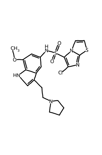 COc1cc(NS(=O)(=O)c2c(Cl)nc3sccn23)cc2c(CCN3CCCC3)c[nH]c12